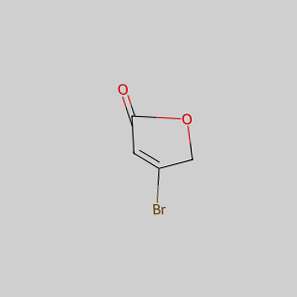 O=C1C=C(Br)CO1